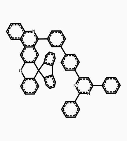 c1ccc(-c2cc(-c3ccc(-c4cccc(-c5nc6ccccc6c6cc7c(cc56)C5(c6ccccc6O7)c6ccccc6-c6ccccc65)c4)cc3)nc(-c3ccccc3)n2)cc1